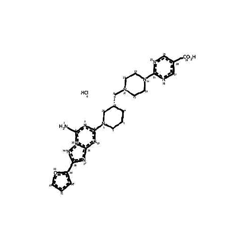 Cl.Nc1nc(N2CCC[C@@H](CN3CCN(c4ncc(C(=O)O)cn4)CC3)C2)nc2nc(-c3ccco3)nn12